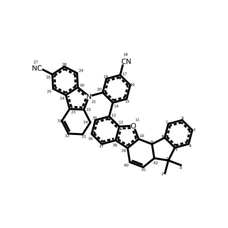 CC1(C)c2ccccc2C2c3oc4c(-c5ccc(C#N)cc5-n5c6c(c7cc(C#N)ccc75)C=CCC6)cccc4c3C=CC21